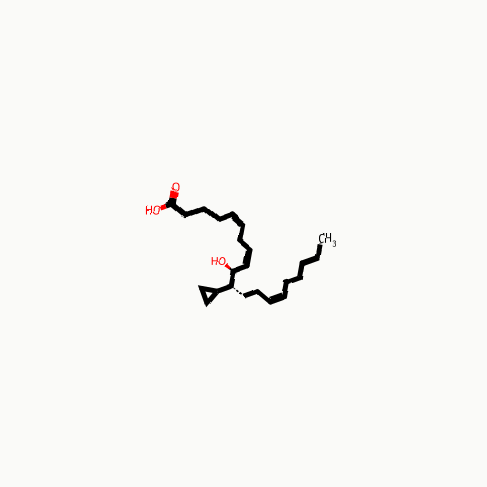 CCCCC/C=C\CC[C@H](C1CC1)[C@@H](O)/C=C\C/C=C\CCCC(=O)O